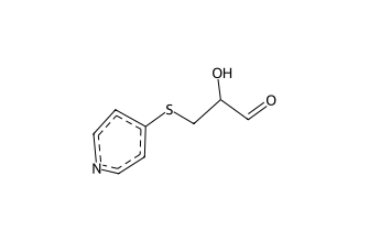 O=CC(O)CSc1ccncc1